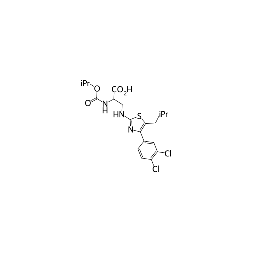 CC(C)Cc1sc(NCC(NC(=O)OC(C)C)C(=O)O)nc1-c1ccc(Cl)c(Cl)c1